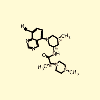 C[C@H]1C[C@@H](NC(=O)[C@H](C)N2CCN(C)CC2)CN(c2ccc(C#N)c3ncncc23)C1